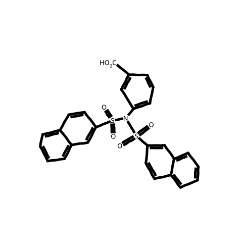 O=C(O)c1cccc(N(S(=O)(=O)c2ccc3ccccc3c2)S(=O)(=O)c2ccc3ccccc3c2)c1